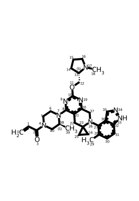 C=CC(=O)N1CCN(c2nc(OC[C@@H]3CCCN3C)nc3c2CC2(CC2)N(c2c(C)ccc4[nH]ncc24)C3)[C@@H](C)C1